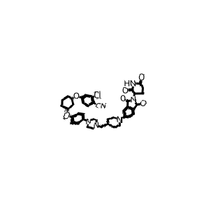 N#Cc1ccc(O[C@@H]2CCC[C@@H](Oc3ccc(N4CCN(CC5CCN(c6ccc7c(c6)C(=O)N(C6CCC(=O)NC6=O)C7=O)CC5)CC4)cc3)C2)cc1Cl